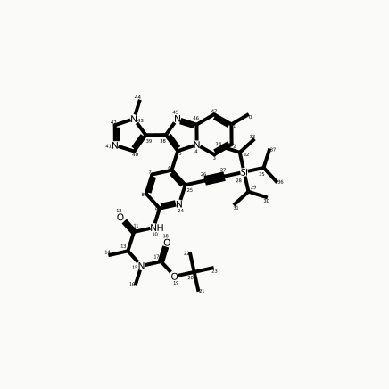 Cc1ccn2c(-c3ccc(NC(=O)C(C)N(C)C(=O)OC(C)(C)C)nc3C#C[Si](C(C)C)(C(C)C)C(C)C)c(-c3cncn3C)nc2c1